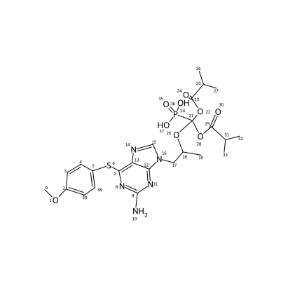 COc1ccc(Sc2nc(N)nc3c2ncn3CC(C)OC(OC(=O)C(C)C)(OC(=O)C(C)C)P(=O)(O)O)cc1